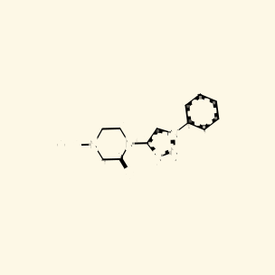 O=C(O)N1CCN(c2cn(-c3ccccc3)nn2)C(=O)C1